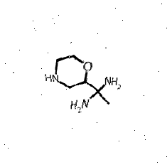 CC(N)(N)C1CNCCO1